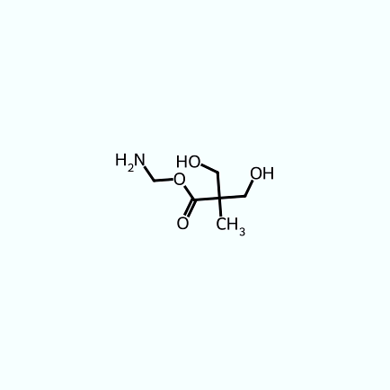 CC(CO)(CO)C(=O)OCN